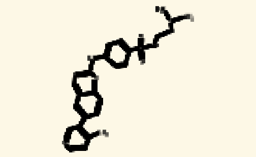 Cc1ccncc1-c1ccc2nc(Nc3ccc(S(=O)(=O)NCCN(C)C)cc3)ncc2c1